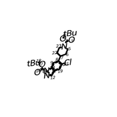 CC(C)(C)OC(=O)N1CCC(c2cc3c(cnn3C(=O)OC(C)(C)C)cc2Cl)CC1